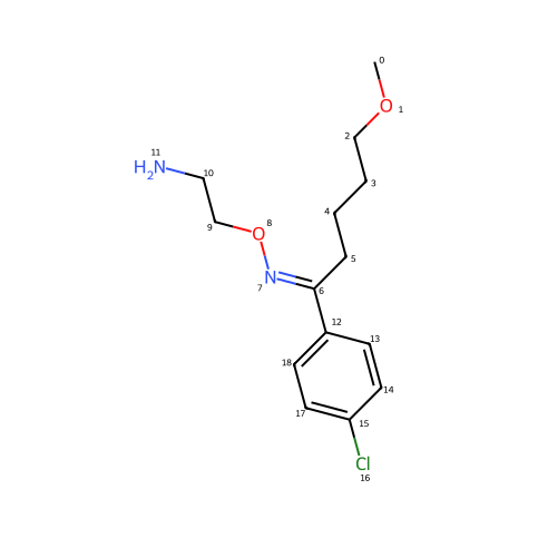 COCCCCC(=NOCCN)c1ccc(Cl)cc1